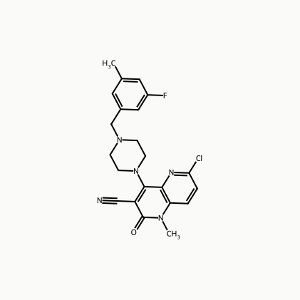 Cc1cc(F)cc(CN2CCN(c3c(C#N)c(=O)n(C)c4ccc(Cl)nc34)CC2)c1